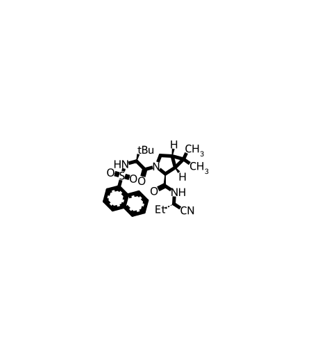 CC[C@@H](C#N)NC(=O)[C@@H]1[C@@H]2[C@H](CN1C(=O)[C@@H](NS(=O)(=O)c1cccc3ccccc13)C(C)(C)C)C2(C)C